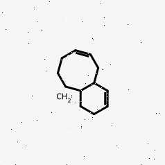 C1=CCC2C=CCCC2CCC1.[CH2]